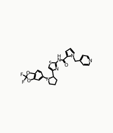 O=C(Nc1nc(C2CCCN2c2ccc3c(c2)OC(F)(F)O3)cs1)c1cccn1Cc1ccncc1